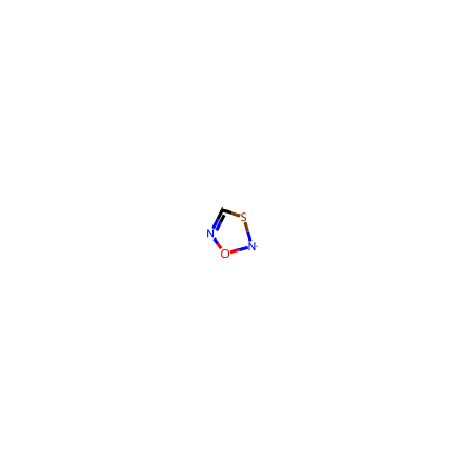 [C]1=NO[N]S1